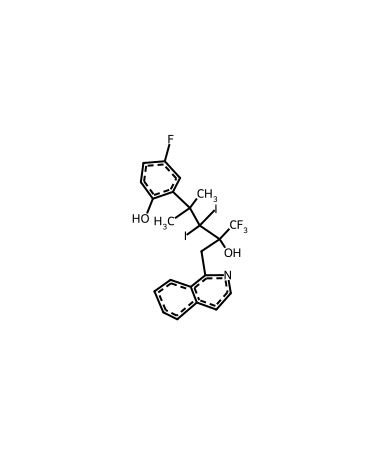 CC(C)(c1cc(F)ccc1O)C(I)(I)C(O)(Cc1nccc2ccccc12)C(F)(F)F